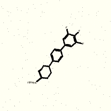 CCCCCCC1CCC(c2ccc(-c3cc(F)c(F)c(F)c3)cc2)CC1